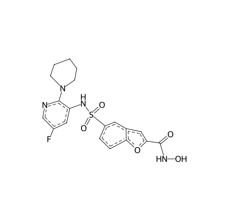 O=C(NO)c1cc2cc(S(=O)(=O)Nc3cc(F)cnc3N3CCCCC3)ccc2o1